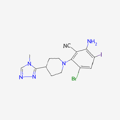 Cn1cnnc1C1CCN(c2c(Br)cc(I)c(N)c2C#N)CC1